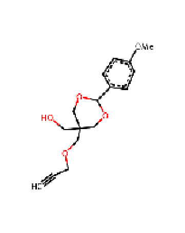 C#CCOCC1(CO)COC(c2ccc(OC)cc2)OC1